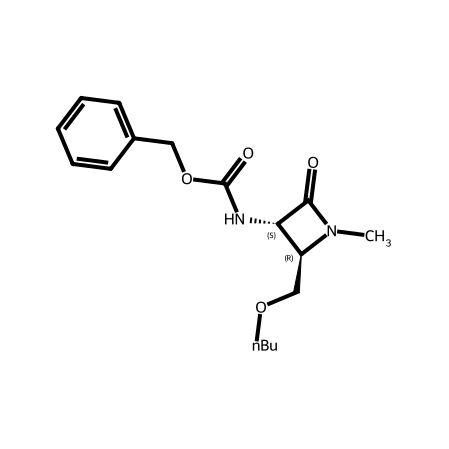 CCCCOC[C@H]1[C@H](NC(=O)OCc2ccccc2)C(=O)N1C